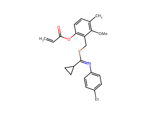 C=CC(=O)Oc1ccc(C)c(OC)c1CSC(=Nc1ccc(CC)cc1)C1CC1